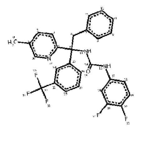 Cc1ccc(C(Cc2ccccc2)(NC(=O)Nc2ccc(F)c(F)c2)c2cccc(C(F)(F)F)c2)nc1